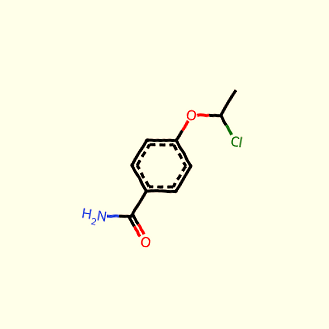 CC(Cl)Oc1ccc(C(N)=O)cc1